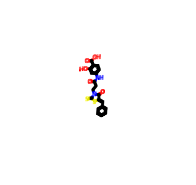 O=C(CCN1C(=O)/C(=C/c2ccccc2)SC1=S)Nc1ccc(C(=O)O)c(O)c1